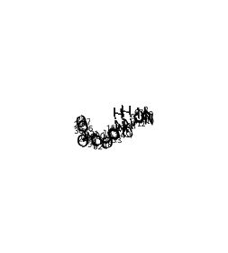 O=C(NCc1ccn2ccnc2c1)Nc1ccc(OC2CCN(C(=O)C3CCOCC3)CC2)cc1